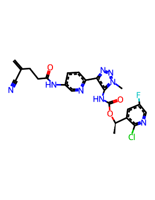 C=C(C#N)CCC(=O)Nc1ccc(-c2nnn(C)c2NC(=O)O[C@H](C)c2cc(F)cnc2Cl)nc1